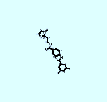 Cc1cc(C)cc(-c2nc3ccc(C(=O)OCCc4nccn4C)cc3o2)c1